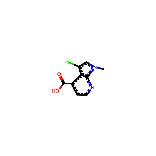 Cn1cc(Cl)c2c(C(=O)O)ccnc21